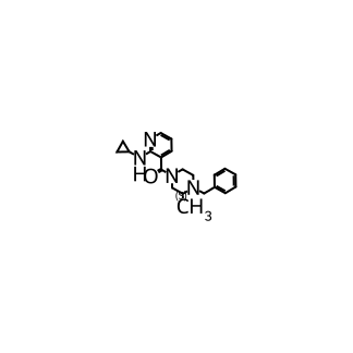 C[C@H]1CN(C(=O)c2cccnc2NC2CC2)CCN1Cc1ccccc1